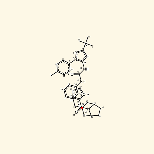 Cc1ccc(-n2nc(C(C)(C)C)cc2NC(=O)Nc2cccc(CC3CC4CCC(C3)N4C(=O)c3ccco3)c2)cc1